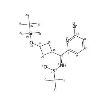 CC(C)(C)[S+]([O-])N[C@H](c1cccc(Br)n1)C1CC(O[Si](C)(C)C(C)(C)C)C1